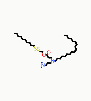 CCCCC/C=C\C/C=C\CCCCCCCCN(CCCN(C)C)CCC(=O)OCCSSCCCCCCCCCC